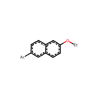 CCOc1ccc2cc(C(C)=O)ccc2c1